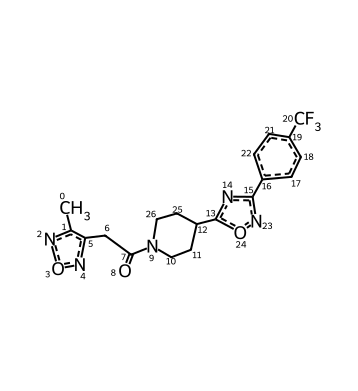 Cc1nonc1CC(=O)N1CCC(c2nc(-c3ccc(C(F)(F)F)cc3)no2)CC1